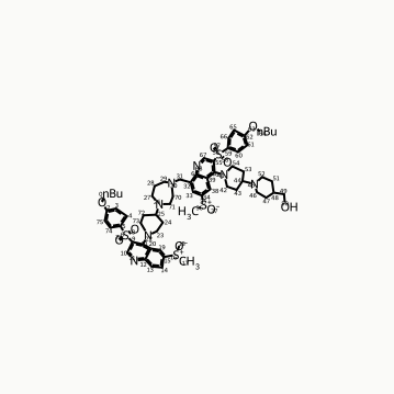 CCCCOc1ccc(S(=O)(=O)c2cnc3ccc([S+](C)[O-])cc3c2N2CCC(N3CCCN(Cc4cc([S+](C)[O-])cc5c(N6CCC(N7CCC(CO)CC7)CC6)c(S(=O)(=O)c6ccc(OCCCC)cc6)cnc45)CC3)CC2)cc1